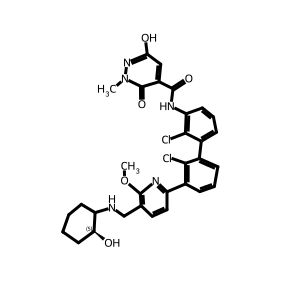 COc1nc(-c2cccc(-c3cccc(NC(=O)c4cc(O)nn(C)c4=O)c3Cl)c2Cl)ccc1CNC1CCCC[C@@H]1O